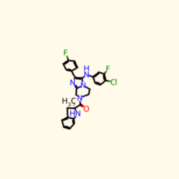 C[C@@]1(C(=O)N2CCn3c(nc(-c4ccc(F)cc4)c3Nc3ccc(Cl)c(F)c3)C2)Cc2ccccc2N1